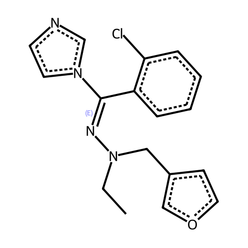 CCN(Cc1ccoc1)/N=C(\c1ccccc1Cl)n1ccnc1